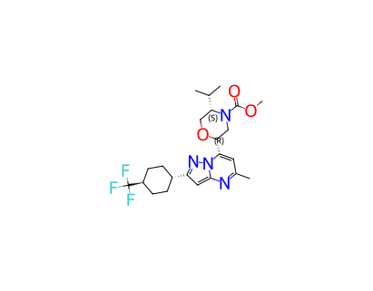 COC(=O)N1C[C@H](c2cc(C)nc3cc([C@H]4CC[C@H](C(F)(F)F)CC4)nn23)OC[C@@H]1C(C)C